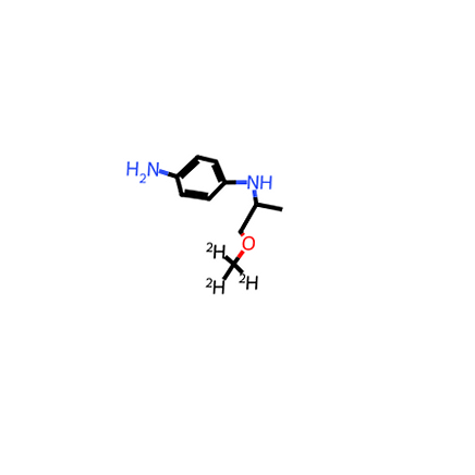 [2H]C([2H])([2H])OCC(C)Nc1ccc(N)cc1